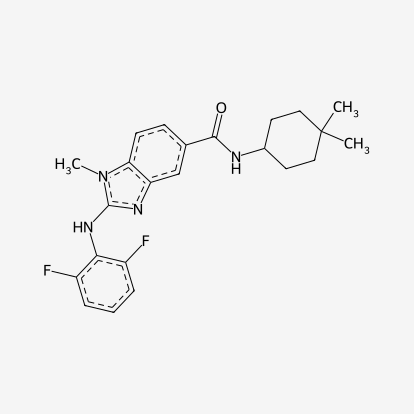 Cn1c(Nc2c(F)cccc2F)nc2cc(C(=O)NC3CCC(C)(C)CC3)ccc21